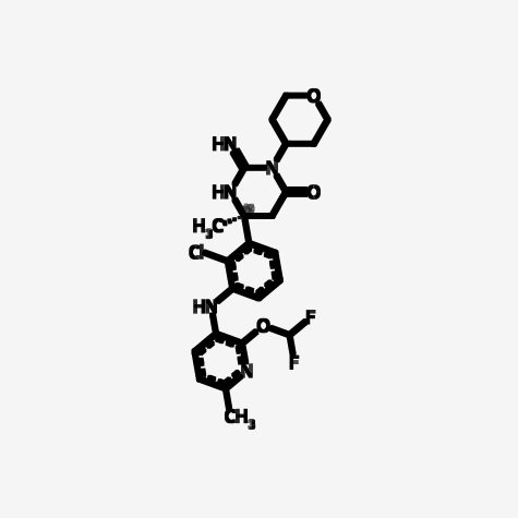 Cc1ccc(Nc2cccc([C@]3(C)CC(=O)N(C4CCOCC4)C(=N)N3)c2Cl)c(OC(F)F)n1